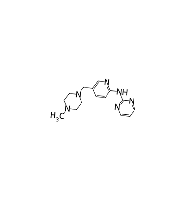 CN1CCN(Cc2ccc(Nc3ncccn3)nc2)CC1